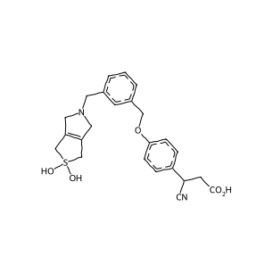 N#CC(CC(=O)O)c1ccc(OCc2cccc(CN3CC4=C(C3)CS(O)(O)C4)c2)cc1